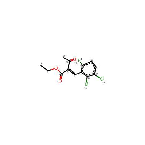 CCOC(=O)C(=Cc1c(F)ccc(Cl)c1Cl)C(C)=O